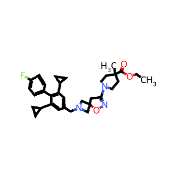 CCOC(=O)C1(C)CCN(C2=NOC3(C2)CN(Cc2cc(C4CC4)c(-c4ccc(F)cc4)c(C4CC4)c2)C3)CC1